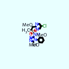 CCc1nnc(NS(=O)(=O)[C@@H](C)[C@H](OC)c2ncc(Cl)cn2)n1-c1c(OC)cccc1OC